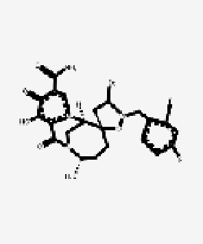 CCC1C[C@]2(CC[C@H](C)N3C[C@H]2n2cc(C(N)=O)c(=O)c(O)c2C3=O)ON1Cc1ccc(F)cc1F